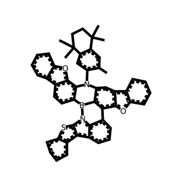 Cc1cc2c(cc1N1c3cc4c(oc5ccccc54)c4c3B(c3ccc5c(oc6ccccc65)c31)n1c3sc5ccccc5c3c3cccc-4c31)C(C)(C)CCC2(C)C